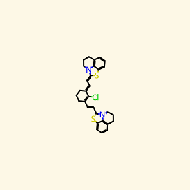 ClC1=C(/C=C/c2sc3cccc4c3[n+]2CCC4)CCC/C1=C\C=C1/Sc2cccc3c2N1CCC3